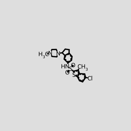 Cc1c(S(=O)(=O)Nc2ccc3c(c2)C(N2CCN(C)CC2)CC3)sc2ccc(Cl)cc12